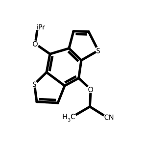 CC(C)Oc1c2ccsc2c(OC(C)C#N)c2ccsc12